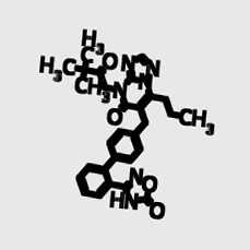 CCCc1c(Cc2ccc(-c3ccccc3-c3noc(=O)[nH]3)cc2)c(=O)n(CC(=O)C(C)(C)C)c2ncnn12